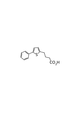 O=C(O)CCCc1ccc(-c2ccccc2)s1